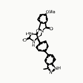 COc1ccc2c(c1)C(=O)N(C[C@@]1(c3ccc(-c4ccc5[nH]nc(C)c5c4)cc3)NC(=O)NC1=O)C2